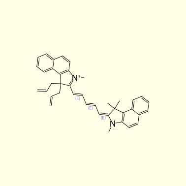 C=CCC1(CC=C)C(/C=C/C=C/C=C2/N(C)c3ccc4ccccc4c3C2(C)C)=[N+](C)c2ccc3ccccc3c21